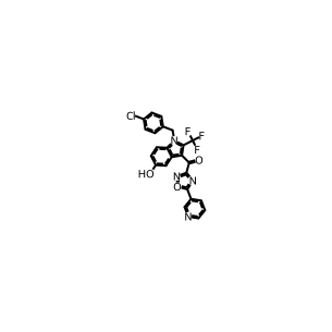 O=C(c1noc(-c2cccnc2)n1)c1c(C(F)(F)F)n(Cc2ccc(Cl)cc2)c2ccc(O)cc12